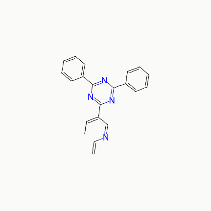 C=C/N=C\C(=C/C)c1nc(-c2ccccc2)nc(-c2ccccc2)n1